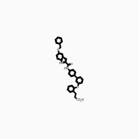 O=C(O)CCc1ccccc1Oc1cccc(-c2ccc(NC(=O)c3cc4cc(OCc5ccccc5)ccc4[nH]3)cc2)c1